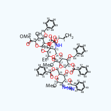 C=CCOC(=O)OC1[C@H](O[C@@H]2C(CC)O[C@@H](O[C@H]3C(C(=O)OC)O[C@@H](O[C@@H]4C(COC(=O)c5ccccc5)O[C@H](OC)C(N=[N+]=[N-])[C@H]4OCc4ccccc4)C(OC(=O)c4ccccc4)[C@@H]3OCc3ccccc3)C3NC(=O)O[C@H]32)OC(C(=O)OC)[C@@H](C)[C@@H]1OCc1ccccc1